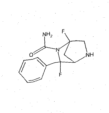 NC(=O)N1C2(F)CNC(C2)C1(F)c1ccccc1